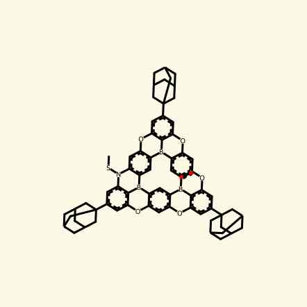 CSN1c2cc3c(cc2B2c4cc5c(cc4Oc4cc(C67CC8CC(CC(C8)C6)C7)cc1c42)Oc1cc(C24CC6CC(CC(C6)C2)C4)cc2c1B5c1ccccc1O2)B1c2ccccc2Oc2cc(C45CC6CC(CC(C6)C4)C5)cc(c21)O3